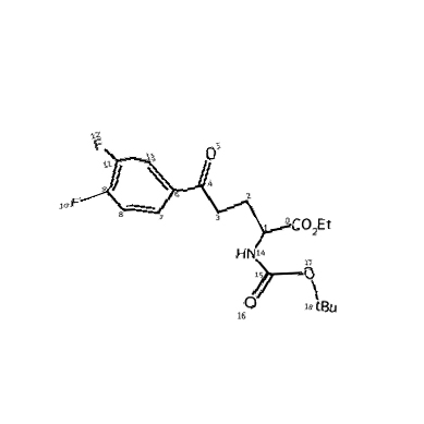 CCOC(=O)C(CCC(=O)c1ccc(F)c(F)c1)NC(=O)OC(C)(C)C